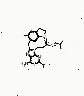 CC(C)CNC(=O)CCn1c(Cc2cc3c(cc2I)CCO3)nc2c(N)nc(F)nc21